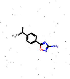 CC([AsH2])c1ccc(-c2nc(N)no2)cc1